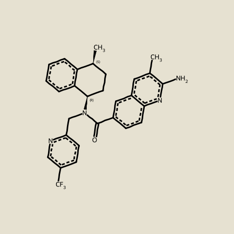 Cc1cc2cc(C(=O)N(Cc3ccc(C(F)(F)F)cn3)[C@@H]3CC[C@H](C)c4ccccc43)ccc2nc1N